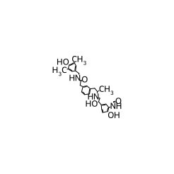 Cc1cc(CNC(=O)Cc2cccc(C[C@@H](C)NC[C@@H](O)c3ccc(O)c(NC=O)c3)c2)cc(C)c1O